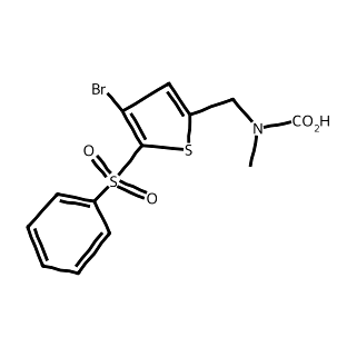 CN(Cc1cc(Br)c(S(=O)(=O)c2ccccc2)s1)C(=O)O